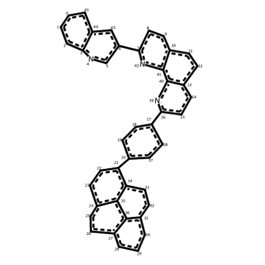 c1ccc2ncc(-c3ccc4ccc5ccc(-c6ccc(-c7ccc8ccc9cccc%10ccc7c8c9%10)cc6)nc5c4n3)cc2c1